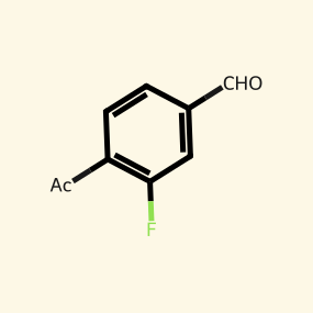 CC(=O)c1ccc(C=O)cc1F